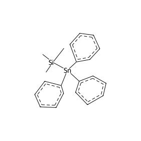 C[Si](C)(C)[Sn]([c]1ccccc1)([c]1ccccc1)[c]1ccccc1